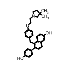 CC1(C)CCN(CCOc2ccc(Cc3c(-c4ccc(O)cc4)ccc4cc(O)ccc34)cc2)C1